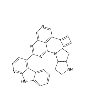 C1=CC(c2cncc3nc(-c4ccnc5[nH]c6ccccc6c45)nc(N4CCC5NCCC54)c23)=C1